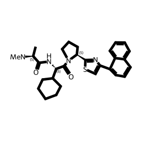 CN[C@@H](C)C(=O)N[C@H](C(=O)N1CCC[C@H]1c1nc(-c2cccc3ccccc23)cs1)C1CCCCC1